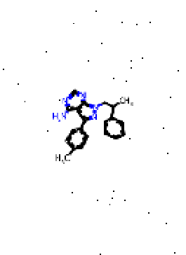 Cc1ccc(-c2nn(CC(C)c3ccccc3)c3ncnc(N)c23)cc1